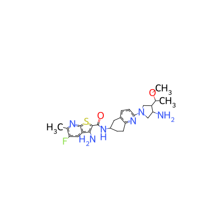 COC(C)C1CN(c2ccc3c(n2)CCC(NC(=O)c2sc4nc(C)c(F)cc4c2N)C3)CC1N